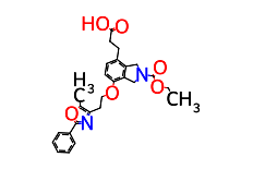 CCOC(=O)N1Cc2c(CCC(=O)O)ccc(OCCc3nc(-c4ccccc4)oc3C)c2C1